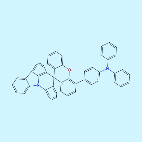 c1ccc(N(c2ccccc2)c2ccc(-c3cccc4c3Oc3ccccc3C43c4ccccc4-n4c5ccccc5c5cccc3c54)cc2)cc1